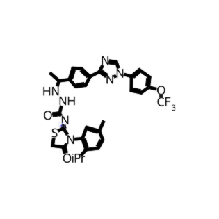 Cc1ccc(C(C)C)c(N2C(=O)CS/C2=N\C(=O)NNC(C)c2ccc(-c3ncn(-c4ccc(OC(F)(F)F)cc4)n3)cc2)c1